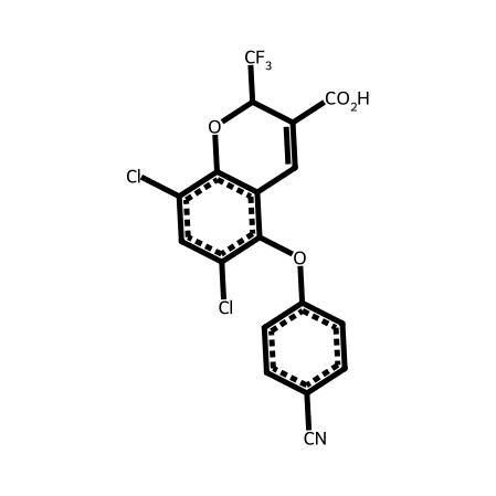 N#Cc1ccc(Oc2c(Cl)cc(Cl)c3c2C=C(C(=O)O)C(C(F)(F)F)O3)cc1